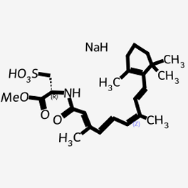 COC(=O)[C@H](CS(=O)(=O)O)NC(=O)C=C(C)C=C/C=C(/C)C=CC1=C(C)CCCC1(C)C.[NaH]